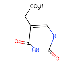 O=C(O)CC1=C[N]C(=O)NC1=O